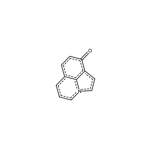 O=c1ccc2cccn3ccc1c23